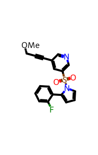 COCC#Cc1cncc(S(=O)(=O)n2cccc2-c2ccccc2F)c1